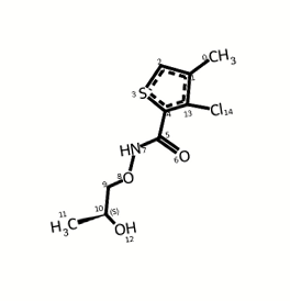 Cc1csc(C(=O)NOC[C@H](C)O)c1Cl